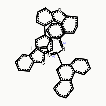 C=C(/N=C(\N=C(/C)c1cccc2oc3cccc(-c4ccc5sc6ccccc6c5c4)c3c12)c1cc2ccccc2c2ccccc12)c1ccccc1